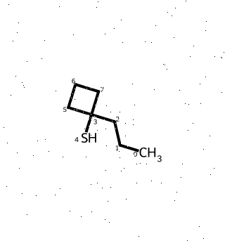 CCCC1(S)CCC1